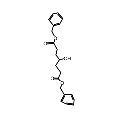 O=C(CCC(O)CCC(=O)OCc1ccccc1)OCc1ccccc1